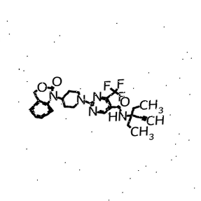 C#CC(CC)(CC)NC(=O)c1cnc(N2CCC(N3C(=O)OCc4ccccc43)CC2)nc1C(F)(F)F